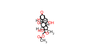 C=C1C[C@H]2[C@@H]3C(O)CC4=CC(=O)C=C[C@]4(C)[C@H]3C(O)C[C@]2(C)[C@@]1(O)C(=O)COC(C)=O